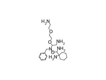 NCCOCCOC(CN)N(Cc1ccccc1)OC(N)C1(N)CCCCC1